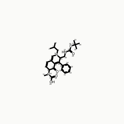 CC(C)CN1C=C2C=CC(N(C)C(=O)O)C(=O)C2=C(c2ccccc2)C1CNC(=O)OC(C)(C)C